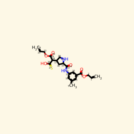 C=CCOC(=O)c1cc(C)cc(NC(=O)C2CC(C(C(=O)OCC=C)C(O)=S)CN2)c1